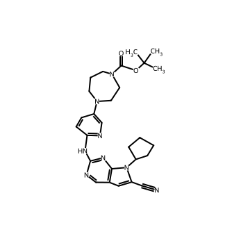 CC(C)(C)OC(=O)N1CCCN(c2ccc(Nc3ncc4cc(C#N)n(C5CCCC5)c4n3)nc2)CC1